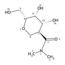 CN(C)C(=O)[C@H]1CO[C@H](CO)[C@H](O)[C@@H]1O